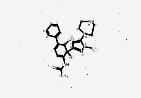 CC(=O)NC1=CC=C(c2ccccc2)C(O)C1(F)c1cc(N2CCNCC2)n(C)n1